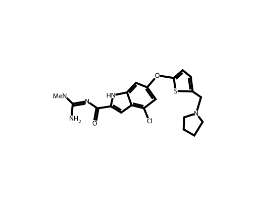 CNC(N)=NC(=O)c1cc2c(Cl)cc(Oc3ccc(CN4CCCC4)s3)cc2[nH]1